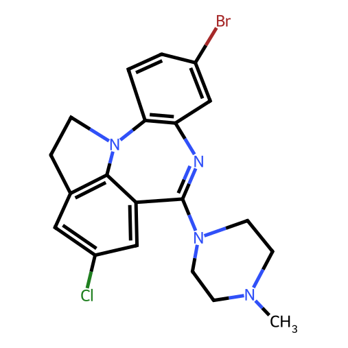 CN1CCN(C2=Nc3cc(Br)ccc3N3CCc4cc(Cl)cc2c43)CC1